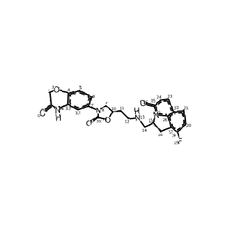 O=C1COc2ccc(N3C[C@@H](CCNCC4Cc5c(F)ccc6ccc(=O)n4c56)OC3=O)cc2N1